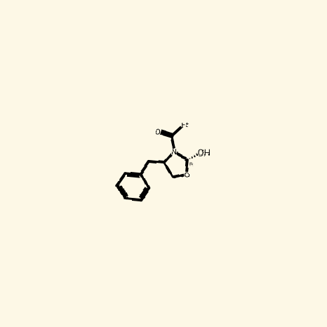 CCC(=O)N1C(Cc2ccccc2)CO[C@H]1O